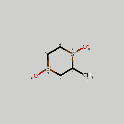 CC1C[S+]([O-])CC[S+]1[O-]